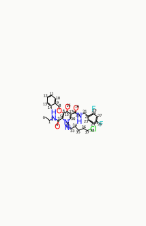 CCNC(=O)c1c(OCc2ccccc2)c(=O)c(C(=O)NCc2ccc(F)cc2F)cn1/N=C\CCCCCl